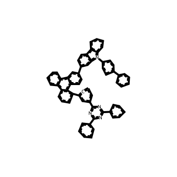 c1ccc(-c2ccc(-n3c4ccccc4c4ccc(-c5ccc6c(c5)c5ccccc5c5cccc(-c7cccc(-c8nc(-c9ccccc9)nc(-c9ccccc9)n8)c7)c56)cc43)cc2)cc1